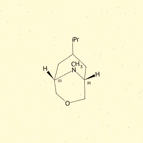 CC(C)C1C[C@H]2COC[C@@H](C1)N2C